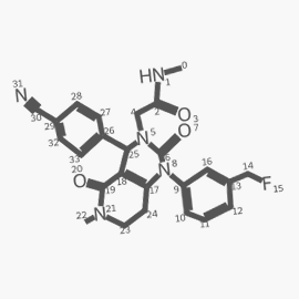 CNC(=O)CN1C(=O)N(c2cccc(CF)c2)C2=C(C(=O)N(C)CC2)C1c1ccc(C#N)cc1